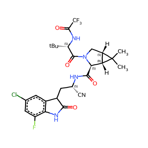 CC(C)(C)[C@H](NC(=O)C(F)(F)F)C(=O)N1C[C@H]2[C@@H]([C@H]1C(=O)N[C@H](C#N)CC1C(=O)Nc3c(F)cc(Cl)cc31)C2(C)C